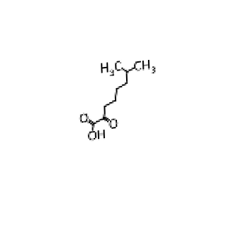 CC(C)CCCCC(=O)C(=O)O